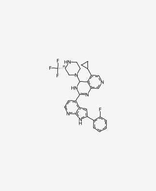 Fc1ccccc1-c1cc2c(C3=Nc4cncc(C5CC5)c4C(N4CCN[C@@H](C(F)(F)F)C4)N3)ccnc2[nH]1